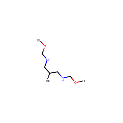 CCOCNCC(CNCOCC)C(C)=O